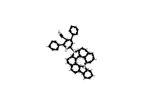 N#Cc1c(-c2ccccc2)cc(-n2c3ccc4cccc5c4c3c3c4c(ccc6c7ccccc7n5c64)ccc32)nc1-c1ccccc1